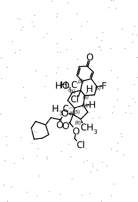 C[C@@H]1C[C@H]2[C@@H]3C[C@H](F)C4=CC(=O)C=C[C@]4(C)C3(Cl)[C@@H](O)C[C@]2(C)[C@@]1(OC(=O)CC1CCCCC1)C(=O)OCCl